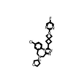 Fc1cnc(N2CC3(CC(c4nnc5n4-c4ccc(Cl)cc4CN([C@H]4CCOC4)C5)C3)C2)nc1